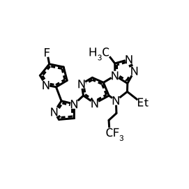 CCC1c2nnc(C)n2-c2cnc(-n3ccnc3-c3ccc(F)cn3)nc2N1CCC(F)(F)F